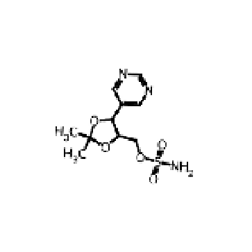 CC1(C)OC(COS(N)(=O)=O)C(c2cncnc2)O1